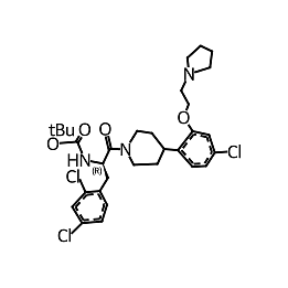 CC(C)(C)OC(=O)N[C@H](Cc1ccc(Cl)cc1Cl)C(=O)N1CCC(c2ccc(Cl)cc2OCCN2CCCC2)CC1